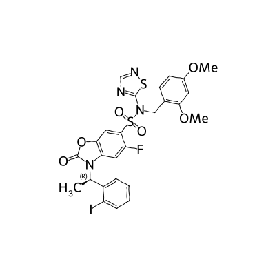 COc1ccc(CN(c2ncns2)S(=O)(=O)c2cc3oc(=O)n([C@H](C)c4ccccc4I)c3cc2F)c(OC)c1